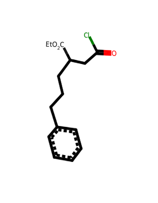 CCOC(=O)C(CCCc1ccccc1)CC(=O)Cl